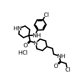 Cl.O=C(CCl)NCCC1CCN(C(=O)C2(Nc3ccc(Cl)cc3)CCNCC2)CC1